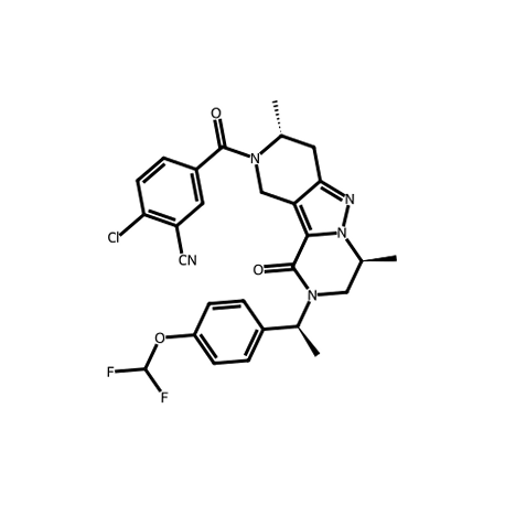 C[C@@H]1Cc2nn3c(c2CN1C(=O)c1ccc(Cl)c(C#N)c1)C(=O)N([C@@H](C)c1ccc(OC(F)F)cc1)C[C@@H]3C